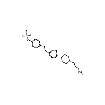 CCCC[C@H]1CC[C@H](c2ccc(CCc3ccc(OC(F)(F)F)cc3)cc2)CC1